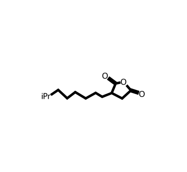 CC(C)CCCCCCC1CC(=O)OC1=O